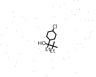 CCC(C)(C)C(O)(CC)C1CCC(Cl)CC1